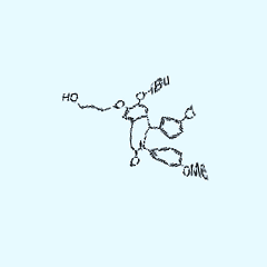 CCC(C)Oc1cc2c(cc1OCCCO)CC(=O)N(c1ccc(OC)cc1)C2c1ccc(Cl)cc1